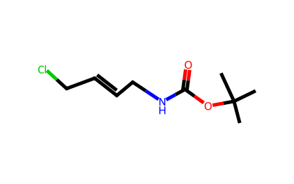 CC(C)(C)OC(=O)NCC=CCCl